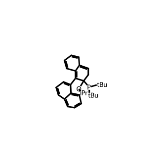 CC(C)OC1(P(C(C)(C)C)C(C)(C)C)CC=c2ccccc2=C1c1cccc2ccccc12